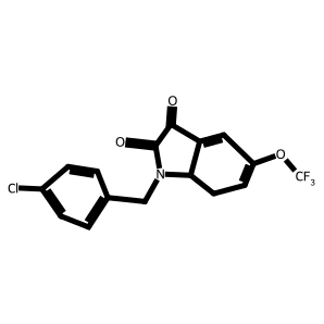 O=C1C(=O)N(Cc2ccc(Cl)cc2)C2CC=C(OC(F)(F)F)C=C12